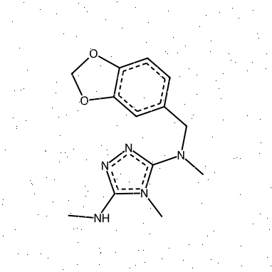 CNc1nnc(N(C)Cc2ccc3c(c2)OCO3)n1C